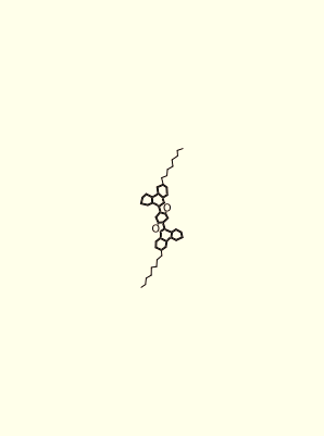 CCCCCCCCc1ccc2c(c1)c1ccccc1c1c3cc4oc5c6ccc(CCCCCCCC)cc6c6ccccc6c5c4cc3oc21